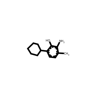 Cc1ccc(C2CCCCC2)c(O)c1N